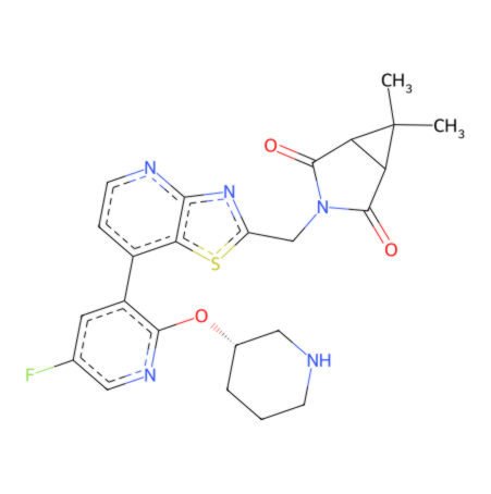 CC1(C)C2C(=O)N(Cc3nc4nccc(-c5cc(F)cnc5O[C@H]5CCCNC5)c4s3)C(=O)C21